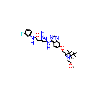 [CH2]C(N(CCCOc1ccc2c(Nc3cc(CC(=O)Nc4cccc(F)c4)[nH]n3)ncnc2c1)CCOC)(C(C)(C)C)C(C)(C)C